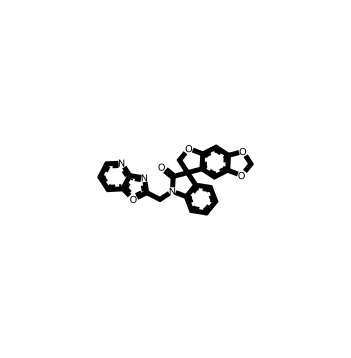 O=C1N(Cc2nc3ncccc3o2)c2ccccc2C12COc1cc3c(cc12)OCO3